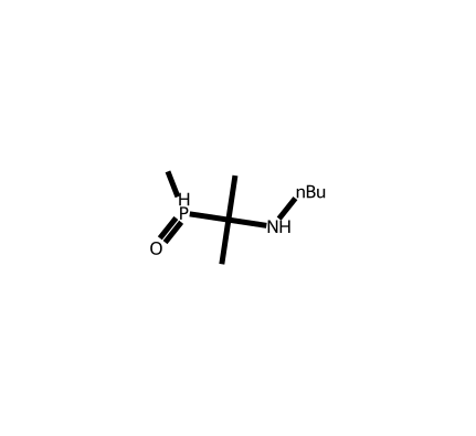 CCCCNC(C)(C)[PH](C)=O